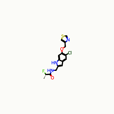 C[C@H](F)C(=O)NCc1cc2cc(Cl)c(OCc3cscn3)cc2[nH]1